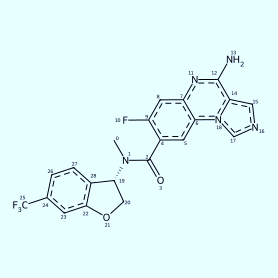 CN(C(=O)c1cc2c(cc1F)nc(N)c1cncn12)[C@@H]1COc2cc(C(F)(F)F)ccc21